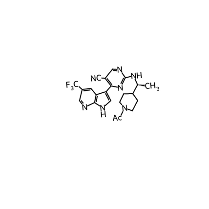 CC(=O)N1CCC([C@H](C)Nc2ncc(C#N)c(-c3c[nH]c4ncc(C(F)(F)F)cc34)n2)CC1